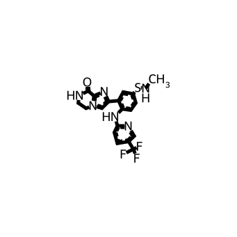 CNSc1ccc(Nc2ccc(C(F)(F)F)cn2)c(-c2cn3c(n2)C(=O)NCC3)c1